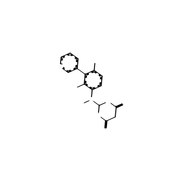 CCN(c1ccc(F)c(-c2cccnc2)c1F)C1OC(=O)CC(=O)O1